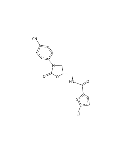 [C-]#[N+]c1ccc(N2C[C@H](CNC(=O)c3ccc(Cl)s3)OC2=O)cc1